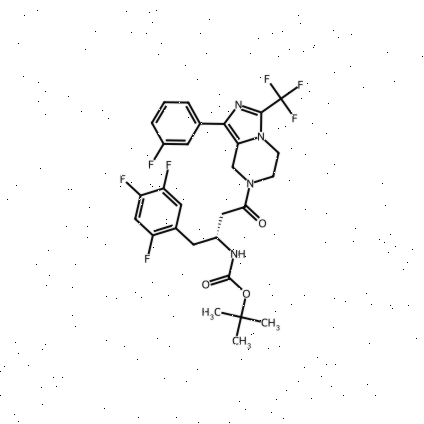 CC(C)(C)OC(=O)N[C@@H](CC(=O)N1CCn2c(C(F)(F)F)nc(-c3cccc(F)c3)c2C1)Cc1cc(F)c(F)cc1F